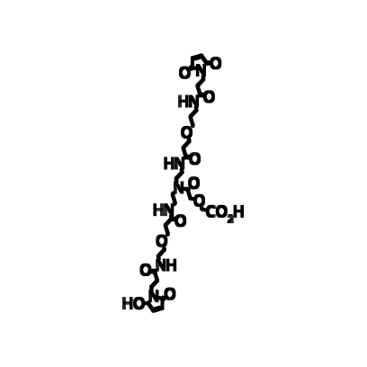 O=C(O)COCC(=O)N(CCNC(=O)CCOCCCNC(=O)CCN1C(=O)C=CC1=O)CCNC(=O)CCOCCNC(=O)CCN1C(=O)C=CC1O